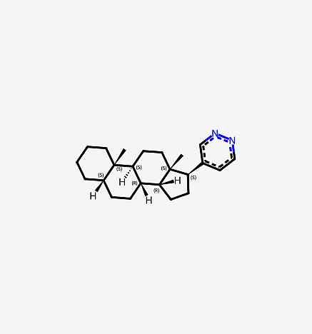 C[C@]12CCCC[C@H]1CC[C@H]1[C@H]3CC[C@H](c4ccnnc4)[C@@]3(C)CC[C@@H]12